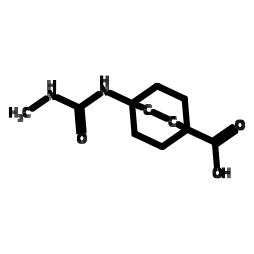 CNC(=O)NC12CCC(C(=O)O)(CC1)CC2